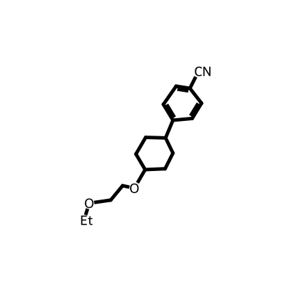 CCOCCOC1CCC(c2ccc(C#N)cc2)CC1